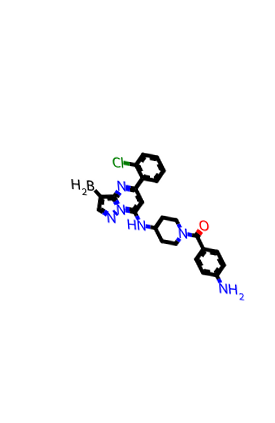 Bc1cnn2c(NC3CCN(C(=O)c4ccc(N)cc4)CC3)cc(-c3ccccc3Cl)nc12